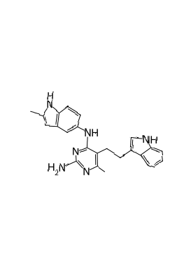 Cc1cc2cc(Nc3nc(N)nc(C)c3CCc3c[nH]c4ccccc34)ccc2[nH]1